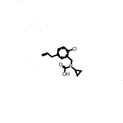 C=CCc1ccc(Cl)c(CN(C(=O)O)C2CC2)c1